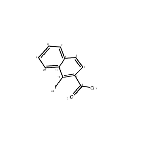 O=C(Cl)c1ccc2ccccc2c1I